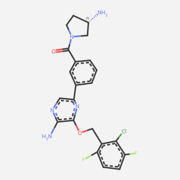 Nc1ncc(-c2cccc(C(=O)N3CC[C@H](N)C3)c2)nc1OCc1c(F)ccc(F)c1Cl